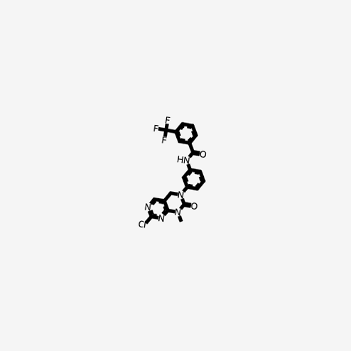 CN1C(=O)N(c2cccc(NC(=O)c3cccc(C(F)(F)F)c3)c2)Cc2cnc(Cl)nc21